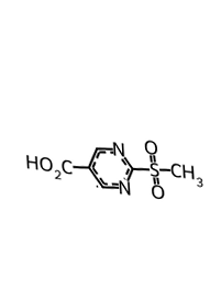 CS(=O)(=O)c1n[c]c(C(=O)O)cn1